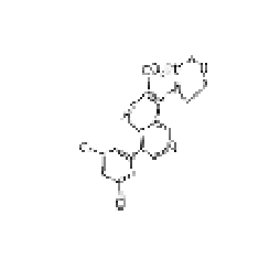 CCOC(=O)c1cnc2c(-c3cc(Cl)cc(Cl)c3)cncc2c1N1CCOCC1